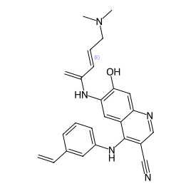 C=Cc1cccc(Nc2c(C#N)cnc3cc(O)c(NC(=C)/C=C/CN(C)C)cc23)c1